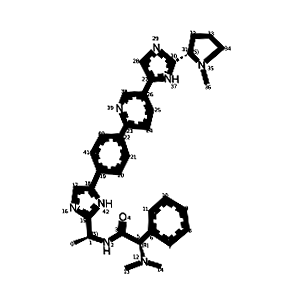 C[C@H](NC(=O)[C@@H](c1ccccc1)N(C)C)c1ncc(-c2ccc(-c3ccc(-c4cnc([C@@H]5CCCN5C)[nH]4)cn3)cc2)[nH]1